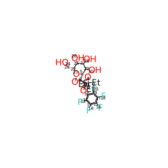 CC[Si](CC)(CC)O[C@]1(C(=O)COc2c(F)c(F)c(F)c(F)c2F)O[C@H](CO)[C@@H](O)[C@H](O)[C@H]1O